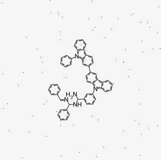 NC(NC(/N=C/c1ccccc1)c1ccccc1)c1cccc(-n2c3ccccc3c3cc(-c4ccc5c6ccccc6n(-c6ccccc6)c5c4)ccc32)c1